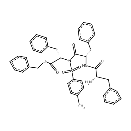 Cc1ccc(S(=O)(=O)N(C(=O)[C@H](Cc2ccccc2)NC(=O)[C@@H](N)Cc2ccccc2)[C@@H](Cc2ccccc2)C(=O)OCc2ccccc2)cc1